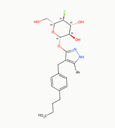 CC(C)c1[nH]nc(O[C@@H]2O[C@H](CO)[C@@H](F)[C@H](O)[C@H]2O)c1Cc1ccc(CCCC(=O)O)cc1